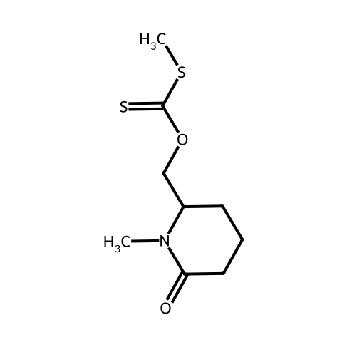 CSC(=S)OCC1CCCC(=O)N1C